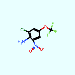 Nc1c(Cl)cc(OC(F)(F)F)cc1[N+](=O)[O-]